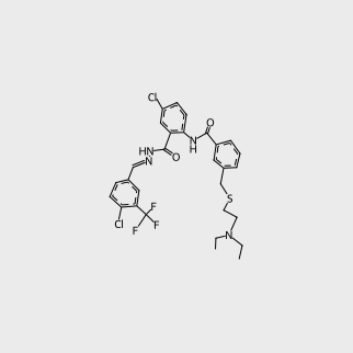 CCN(CC)CCSCc1cccc(C(=O)Nc2ccc(Cl)cc2C(=O)NN=Cc2ccc(Cl)c(C(F)(F)F)c2)c1